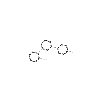 Cc1ccc(-c2cccc(-c3ccccc3N)c2)cc1